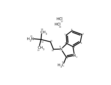 Cc1nc2ccccc2n1CCC(C)(C)N.Cl.Cl